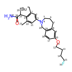 Cc1cc(N2CCCc3cc(OCCCCF)ccc3C2)cc(C)c1C(C(N)=O)C(C)(C)C